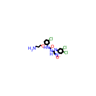 NCCCOc1ccc(Cl)cc1NC(=O)Nc1c[n+]([O-])c2cc(Cl)c(Cl)cc2n1